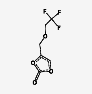 O=c1occ(COCC(F)(F)F)o1